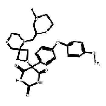 CN1CCOC(CN2CCOCC23CN(C2(c4ccc(Oc5ccc(OC(F)(F)F)cc5)cc4)C(=O)NC(=O)NC2=O)C3)C1